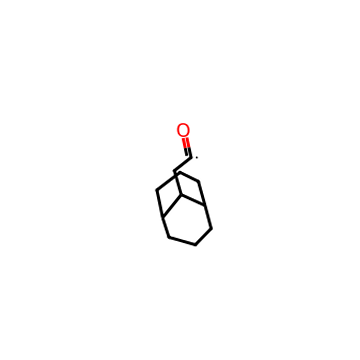 O=[C]CC1C2CCCC1CCC2